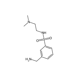 CN(C)CCNS(=O)(=O)c1cccc(CN)c1